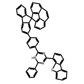 c1ccc(C2N=C(c3cccc4c3sc3ccccc34)N=C(c3ccc(-c4ccc5c(c4)C4(c6ccccc6-5)c5cccc6ccc7cccc4c7c56)cc3)N2)cc1